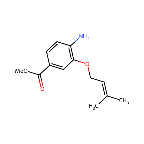 COC(=O)c1ccc(N)c(OCC=C(C)C)c1